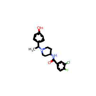 CC(c1ccc(O)cc1)N1CCC(NC(=O)c2ccc(F)c(Cl)c2)CC1